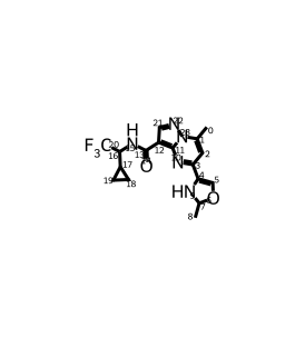 Cc1cc(C2=COC(C)N2)nc2c(C(=O)NC(C3CC3)C(F)(F)F)cnn12